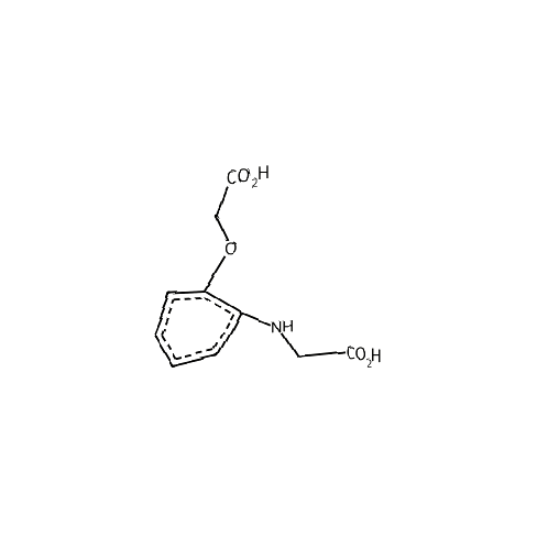 O=C(O)CNc1ccccc1OCC(=O)O